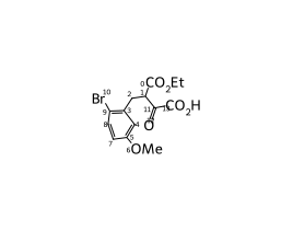 CCOC(=O)C(Cc1cc(OC)ccc1Br)C(=O)C(=O)O